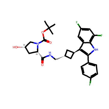 CC(C)(C)OC(=O)N1C[C@@H](O)C[C@H]1C(=O)NC[C@H]1C[C@H](c2c(-c3ccc(F)cc3)[nH]c3c(F)cc(F)cc32)C1